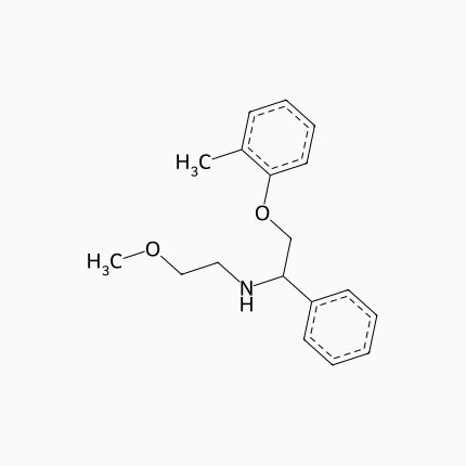 COCCNC(COc1ccccc1C)c1ccccc1